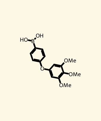 COc1cc(Oc2ccc(B(O)O)cc2)cc(OC)c1OC